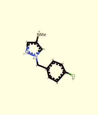 CNc1cnn(Cc2ccc(Cl)cc2)c1